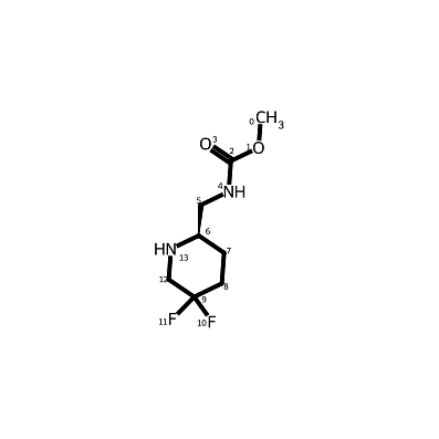 COC(=O)NC[C@H]1CCC(F)(F)CN1